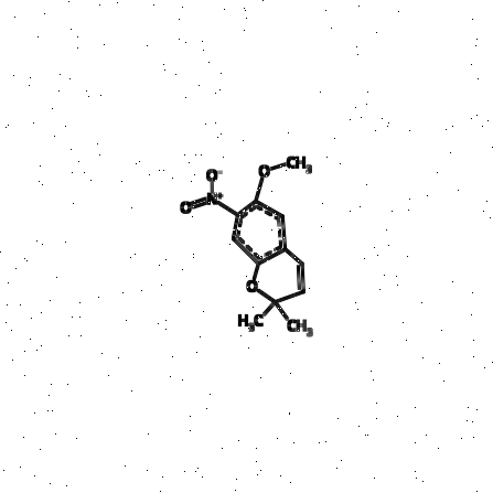 COc1cc2c(cc1[N+](=O)[O-])OC(C)(C)C=C2